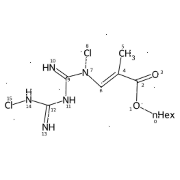 CCCCCCOC(=O)C(C)=CN(Cl)C(=N)NC(=N)NCl